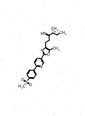 CC[C@@H](C)C(=N)CCc1nc(-c2ccc(-c3ccc(S(C)(=O)=O)cc3)nc2)oc1C